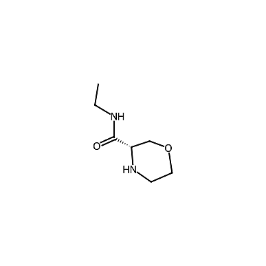 CCNC(=O)[C@@H]1COCCN1